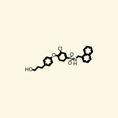 O=S(=O)(NCc1cccc2ccccc12)C1=CC(Cl)=C(Oc2ccc(CCCO)cc2)CC1